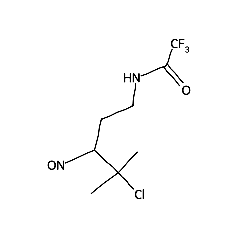 CC(C)(Cl)C(CCNC(=O)C(F)(F)F)N=O